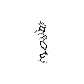 CC(O)c1ccc(N2CCC(N3CCC[C@H](Nc4cc(F)c(S(C)(=O)=O)cc4F)C3=O)CC2)nc1